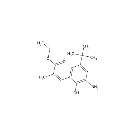 CCOC(=O)C(C)=Cc1cc(C(C)(C)C)cc(N)c1O